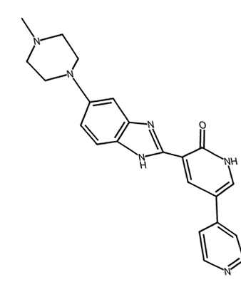 CN1CCN(c2ccc3[nH]c(-c4cc(-c5ccncc5)c[nH]c4=O)nc3c2)CC1